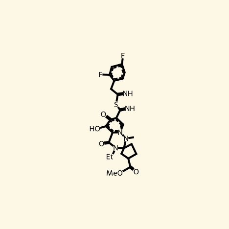 CCN1C(=O)c2c(O)c(=O)c(C(=N)SC(=N)Cc3ccc(F)cc3F)cn2N(C)C12CCC(C(=O)OC)C2